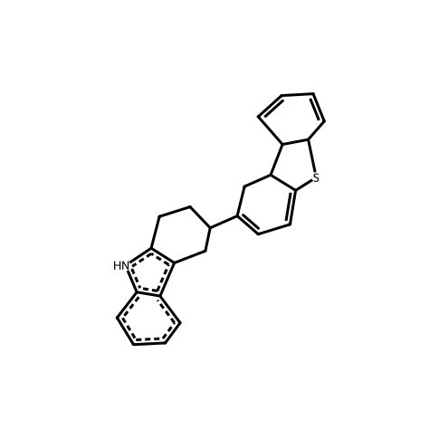 C1=CC2SC3=CC=C(C4CCc5[nH]c6ccccc6c5C4)CC3C2C=C1